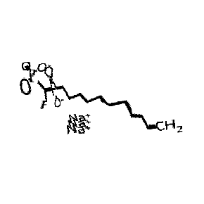 C=CCCCCCCCCCP(=O)([O-])C(F)P(=O)([O-])[O-].[Na+].[Na+].[Na+]